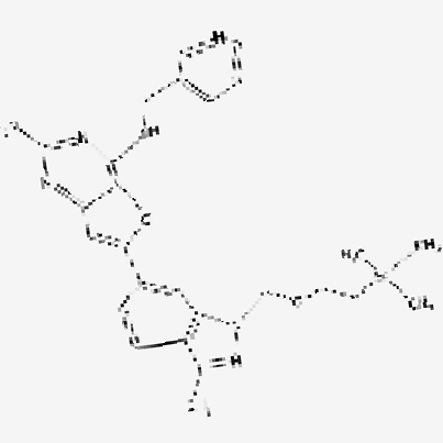 Cc1nn(COCC[Si](C)(C)C)c2cc(-c3cc4nc(N)nc(NCc5cccnc5)c4o3)ccc12